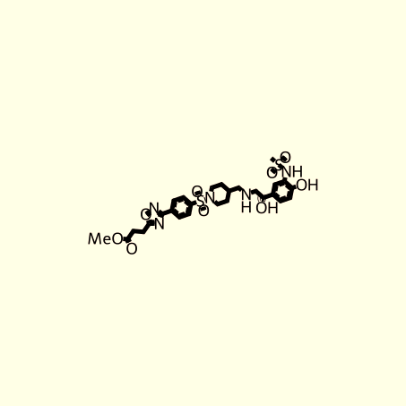 COC(=O)CCc1nc(-c2ccc(S(=O)(=O)N3CCC(CNC[C@H](O)c4ccc(O)c(NS(C)(=O)=O)c4)CC3)cc2)no1